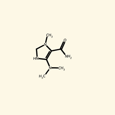 CN(C)C1=C(C(N)=O)N(C)CN1